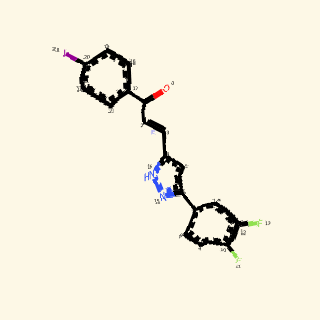 O=C(/C=C/c1cc(-c2ccc(F)c(F)c2)n[nH]1)c1ccc(I)cc1